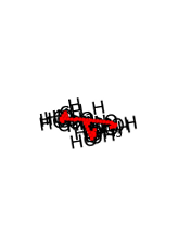 CC(=O)N[C@H]1C(OCCCCC(=O)NCCCC[C@H](NC(=O)CCCCOC2OC(CO)[C@H](O)[C@H](O)[C@H]2NC(C)=O)C(=O)NCCCCCC(=O)NCCCCCC(=O)N2CC(O)C[C@H]2CO)OC(CO)[C@H](O)[C@@H]1O